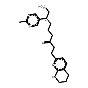 Cc1ncc([C@H](CCCC(=O)CCc2ccc3c(n2)NCCC3)CC(=O)O)cn1